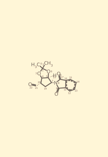 CC1(C)OC2[C@@H](O1)[C@H](N1C(=O)c3ccccc3C1=O)C[C@@H]2C=O